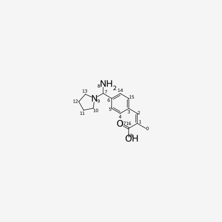 CC(=Cc1ccc(C(N)N2CCCC2)cc1)C(=O)O